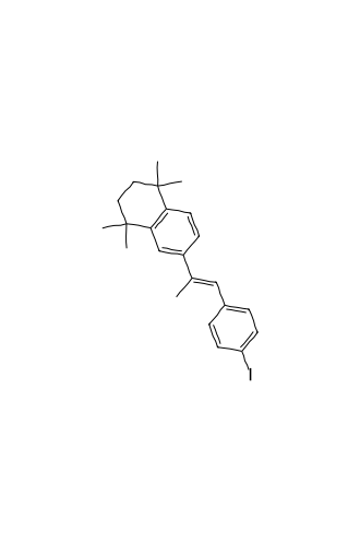 CC(=Cc1ccc(I)cc1)c1ccc2c(c1)C(C)(C)CCC2(C)C